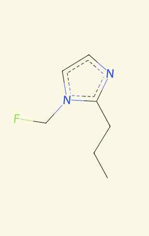 CCCc1nccn1CF